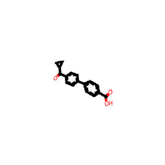 O=C(O)c1ccc(-c2ccc(C(=O)C3CC3)cc2)cc1